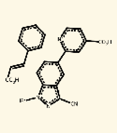 CC(C)n1nc(C#N)c2cc(-c3cc(C(=O)O)ccn3)ccc21.O=C(O)C=Cc1ccccc1